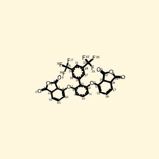 O=C1OC(=O)C2C(Oc3cccc(OC4=CC=CC5C(=O)OC(=O)C45)c3-c3cc(C(F)(F)F)cc(C(F)(F)F)c3)=CC=CC12